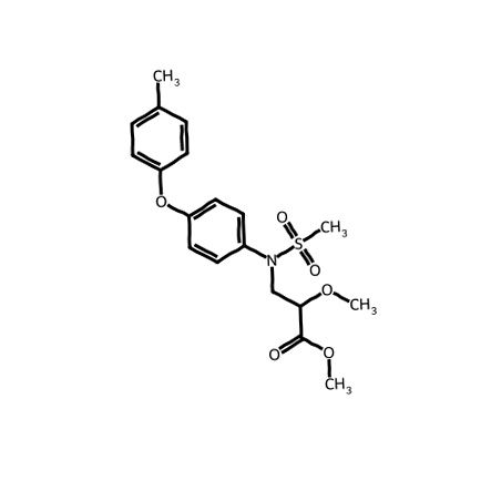 COC(=O)C(CN(c1ccc(Oc2ccc(C)cc2)cc1)S(C)(=O)=O)OC